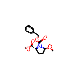 COC(=O)[C@@H]1CCC(OC)N1C(=O)OCc1ccccc1